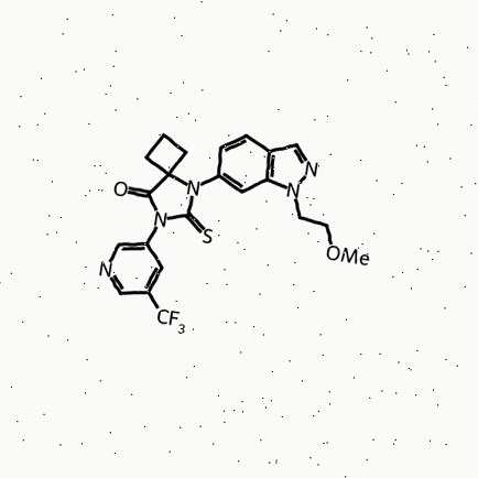 COCCn1ncc2ccc(N3C(=S)N(c4cncc(C(F)(F)F)c4)C(=O)C34CCC4)cc21